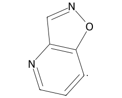 [c]1ccnc2cnoc12